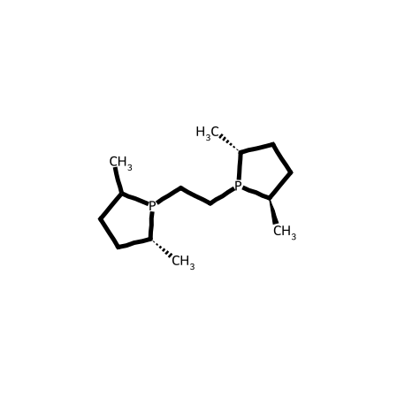 CC1CC[C@@H](C)P1CCP1[C@H](C)CC[C@H]1C